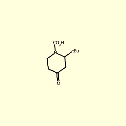 CC(C)(C)C1CC(=O)CCN1C(=O)O